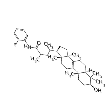 CC(C[C@@H](C)[C@H]1CC[C@@]2(C)C3=C(CC[C@]12C)[C@@]1(C)CC[C@H](O)C(C)(C)[C@@H]1CC3)C(=O)Nc1ccccc1F